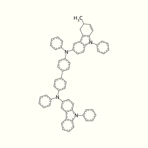 CC1C=Cc2c(c3cc(N(c4ccccc4)c4ccc(-c5ccc(N(c6ccccc6)c6ccc7c(c6)c6ccccc6n7-c6ccccc6)cc5)cc4)ccc3n2-c2ccccc2)C1